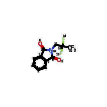 O=C1c2ccccc2C(=O)N1CC(F)(F)C(F)(F)F